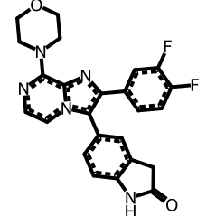 O=C1Cc2cc(-c3c(-c4ccc(F)c(F)c4)nc4c(N5CCOCC5)nccn34)ccc2N1